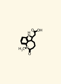 CN1C(=O)CCCC2c3c(cccc31)NC2CC(=O)O